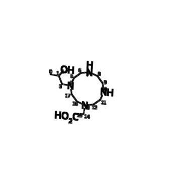 CC(O)CN1CCNCCNCCN(CC(=O)O)CC1